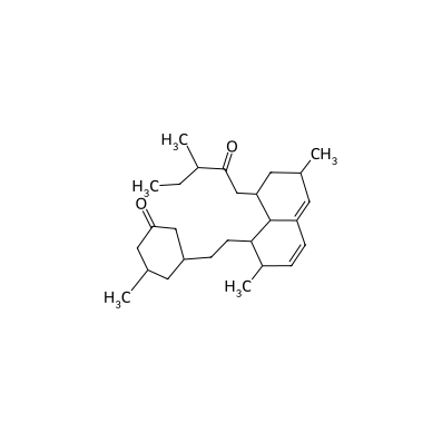 CCC(C)C(=O)CC1CC(C)C=C2C=CC(C)C(CCC3CC(=O)CC(C)C3)C21